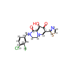 O=C1c2c(O)c(=O)c(-c3nccs3)cn2CCN1Cc1ccc(Cl)c(F)c1